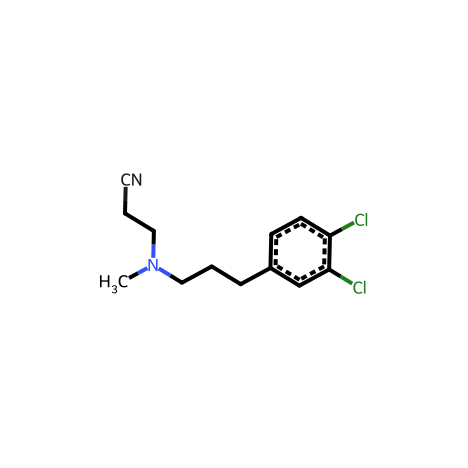 CN(CCC#N)CCCc1ccc(Cl)c(Cl)c1